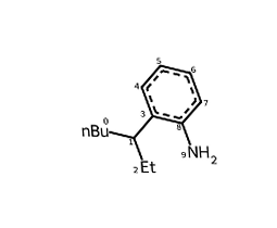 CCCCC(CC)c1ccccc1N